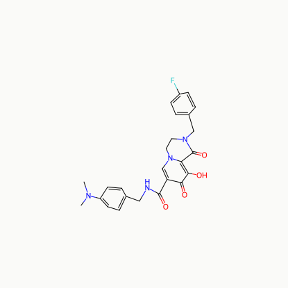 CN(C)c1ccc(CNC(=O)c2cn3c(c(O)c2=O)C(=O)N(Cc2ccc(F)cc2)CC3)cc1